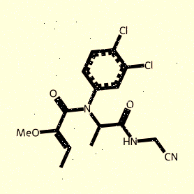 CC=C(OC)C(=O)N(c1ccc(Cl)c(Cl)c1)C(C)C(=O)NCC#N